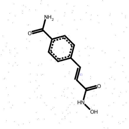 NC(=O)c1ccc(/C=C/C(=O)NO)cc1